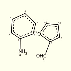 Nc1ccccc1.O=Cc1ccco1